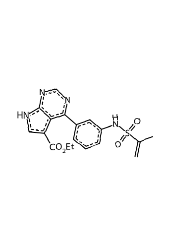 C=C(C)S(=O)(=O)Nc1cccc(-c2ncnc3[nH]cc(C(=O)OCC)c23)c1